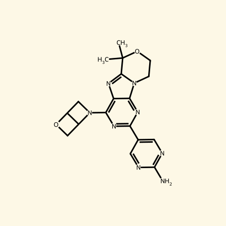 CC1(C)OCCn2c1nc1c(N3CC4OCC43)nc(-c3cnc(N)nc3)nc12